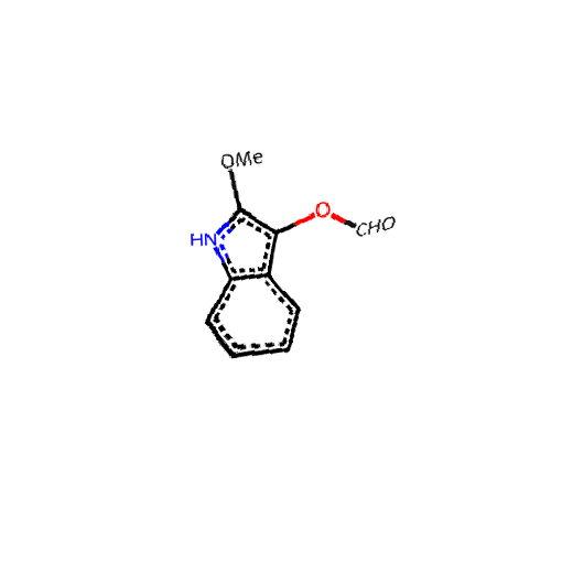 COc1[nH]c2ccccc2c1OC=O